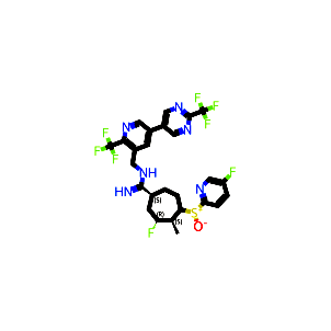 C[C@@H]1C([S+]([O-])c2ccc(F)cn2)CC[C@H](C(=N)NCc2cc(-c3cnc(C(F)(F)F)nc3)cnc2C(F)(F)F)C[C@H]1F